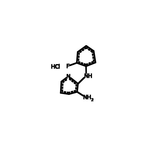 Cl.Nc1cccnc1Nc1ccccc1F